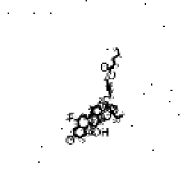 CCCCC(=O)OCC#CCSC(=O)[C@@]1(OC(=O)CC)[C@H](C)CC2C3C[C@H](F)C4=CC(=O)C=C[C@]4(C)[C@@]3(F)[C@@H](O)C[C@@]21C